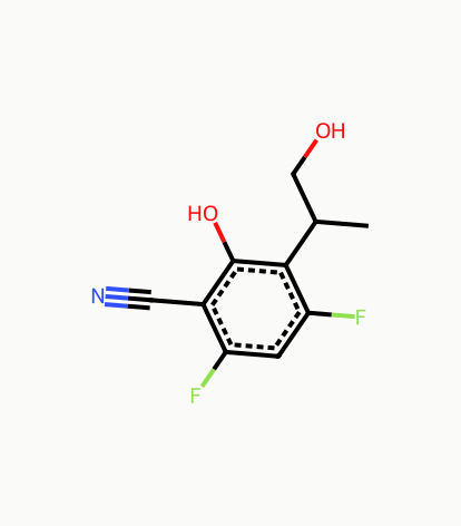 CC(CO)c1c(F)cc(F)c(C#N)c1O